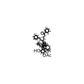 CC(=O)Oc1cc(O)c2c3c1O[C@H]1CCC[C@H]4[C@@H](C2)[N+](CC2CC2)(NC(=O)C(CCCC(=O)c2ccccc2)CCc2ccccc2)CC[C@]314